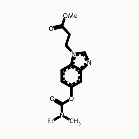 CCN(C)C(=O)Oc1ccc2c(c1)ncn2CCC(=O)OC